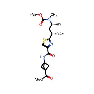 COC(=O)C12CC(NC(=O)c3csc([C@@H](C[C@H](C(C)C)N(C)C(=O)OC(C)(C)C)OC(C)=O)n3)(C1)C2